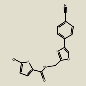 N#Cc1ccc(-c2coc(CNC(=O)c3ccc(Cl)s3)n2)cc1